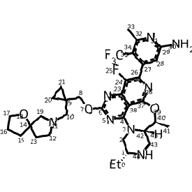 CC[C@@H]1CN2c3nc(OCC4(CN5CCC6(CCCO6)C5)CC4)nc4c(F)c(-c5cc(N)nc(C)c5C(F)(F)F)nc(c34)O[C@@H](C)[C@@H]2CN1